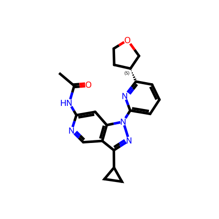 CC(=O)Nc1cc2c(cn1)c(C1CC1)nn2-c1cccc([C@@H]2CCOC2)n1